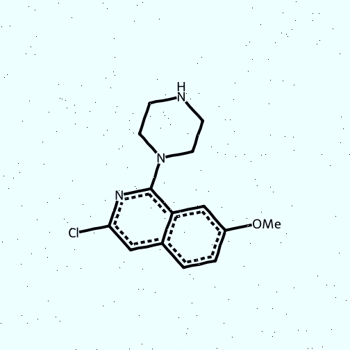 COc1ccc2cc(Cl)nc(N3CCNCC3)c2c1